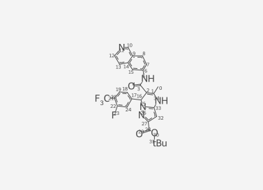 CC1=C(C(=O)Nc2ccc3cnccc3c2)C(c2ccc(C(F)(F)F)c(F)c2)n2nc(C(=O)OC(C)(C)C)cc2N1